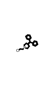 ClCCN1CCC(=C(c2ccccc2)c2ccccc2)CC1